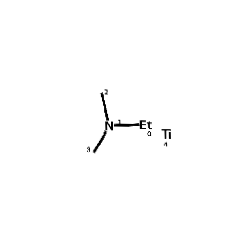 [CH2]CN(C)C.[Ti]